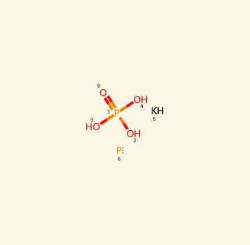 O=P(O)(O)O.[KH].[P]